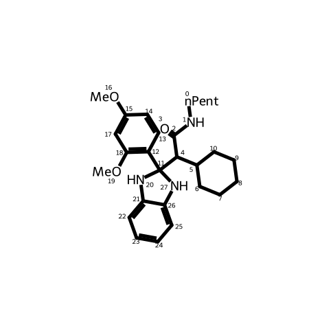 CCCCCNC(=O)C(C1CCCCC1)C1(c2ccc(OC)cc2OC)Nc2ccccc2N1